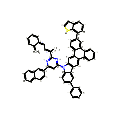 C=c1cccc/c1=C/C=C(\C)c1nc(-c2ccc3ccccc3c2)cc(-n2c3ccc(-c4ccccc4)cc3c3cc4c5ccccc5c5cc(-c6cccc7ccsc67)ccc5c4cc32)n1